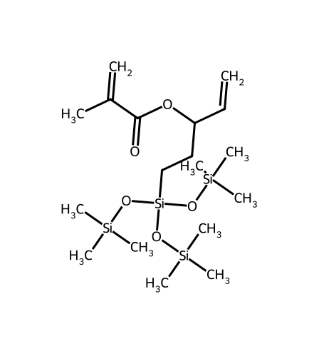 C=CC(CC[Si](O[Si](C)(C)C)(O[Si](C)(C)C)O[Si](C)(C)C)OC(=O)C(=C)C